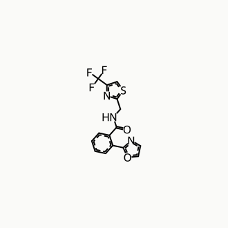 O=C(NCc1nc(C(F)(F)F)cs1)c1ccccc1-c1ncco1